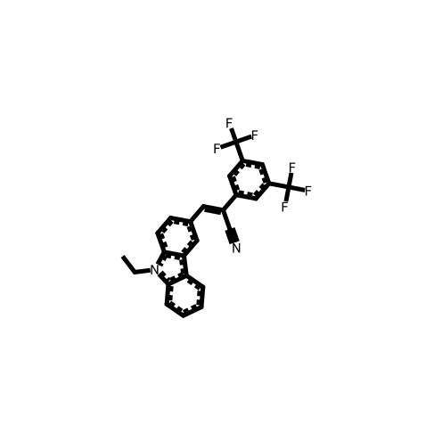 CCn1c2ccccc2c2cc(C=C(C#N)c3cc(C(F)(F)F)cc(C(F)(F)F)c3)ccc21